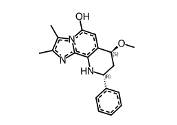 CO[C@H]1C[C@H](c2ccccc2)Nc2c1cc(O)n1c(C)c(C)nc21